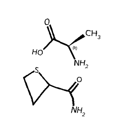 C[C@@H](N)C(=O)O.NC(=O)C1CCS1